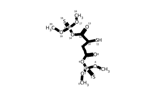 COP(=S)(OC)OC(=O)CC(S)C(=O)OP(=S)(OC)OC